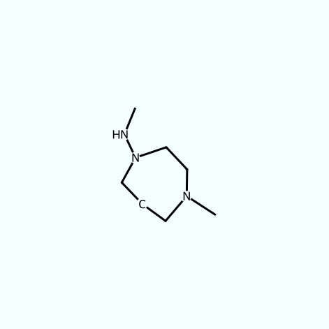 CNN1CCCN(C)CC1